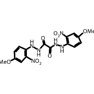 COc1ccc(NNC(=O)C(=O)NNc2ccc(OC)cc2[N+](=O)[O-])c([N+](=O)[O-])c1